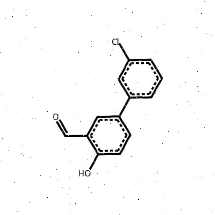 O=Cc1cc(-c2cccc(Cl)c2)ccc1O